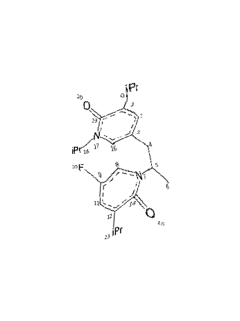 CC(C)c1cc(CC(C)n2cc(F)cc(C(C)C)c2=O)cn(C(C)C)c1=O